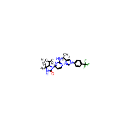 [2H]C1([2H])NC(=O)N(c2ccnc(N[C@@H](C)c3cn(-c4ccc(C(F)(F)F)cc4)cn3)n2)C1C(C)C